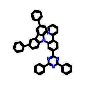 c1ccc(-c2ccc3c(c2)c2cc(-c4ccccc4)ccc2n3-c2cc(-c3nc(-c4ccccc4)nc(-c4ccccc4)n3)ccc2-c2ccccn2)cc1